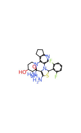 NC(=O)C1=C(N)SC(c2c(F)cccc2F)N1c1cnc2c(c1N1CC[C@H](O)[C@H](N)C1)CCC2